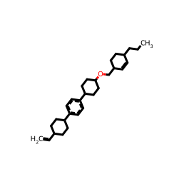 C=CC1CCC(c2ccc(C3CCC(OCC4C=CC(CCC)CC4)CC3)cc2)CC1